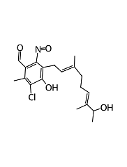 C/C(=C\Cc1c(O)c(Cl)c(C)c(C=O)c1N=O)CC/C=C(\C)C(C)O